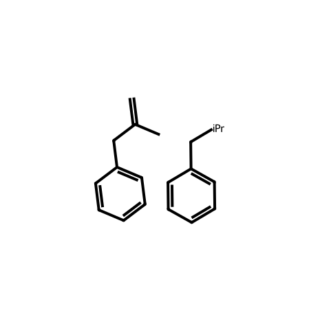 C=C(C)Cc1ccccc1.CC(C)Cc1ccccc1